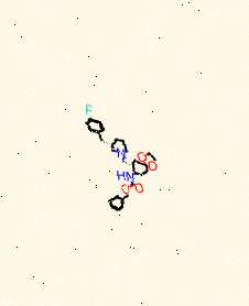 O=C(N[C@@H]1CCC2(C[C@H]1CN1CCC[C@@H](Cc3ccc(F)cc3)C1)OCCO2)OCc1ccccc1